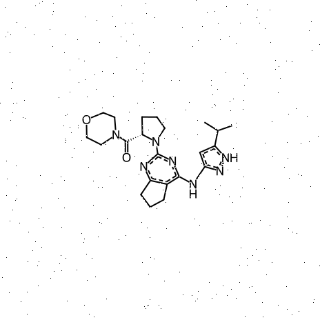 CC(C)c1cc(Nc2nc(N3CCC[C@H]3C(=O)N3CCOCC3)nc3c2CCC3)n[nH]1